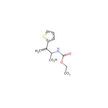 C=C(c1cccs1)C(NC(=O)OCC(Cl)(Cl)Cl)C(=O)O